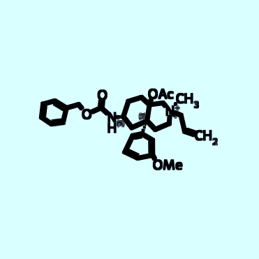 C=CC[N@@+]1(C)CC[C@@]2(c3cccc(OC)c3)C[C@@H](NC(=O)OCc3ccccc3)CCC2(OC(C)=O)C1